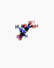 CC(=O)Nc1cc(N(CCO)CCO)ccc1/N=N/c1c(C#N)cc([N+](=O)[O-])cc1C#N